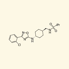 CC(C)S(=O)(=O)NC[C@H]1CC[C@H](Nc2nc(-c3ccccc3Cl)no2)CC1